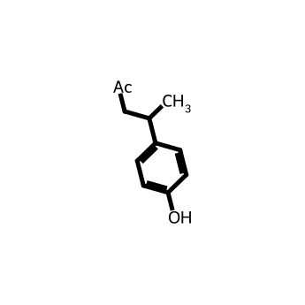 CC(=O)CC(C)c1ccc(O)cc1